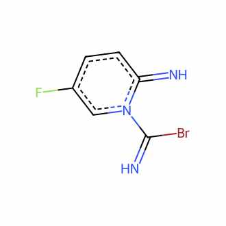 N=C(Br)n1cc(F)ccc1=N